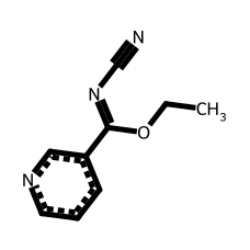 CCO/C(=N\C#N)c1cccnc1